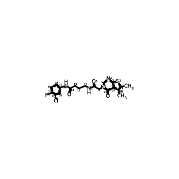 Cc1sc2ncn(CC(=O)NCCCC(=O)Nc3ccc(F)c(Cl)c3)c(=O)c2c1C